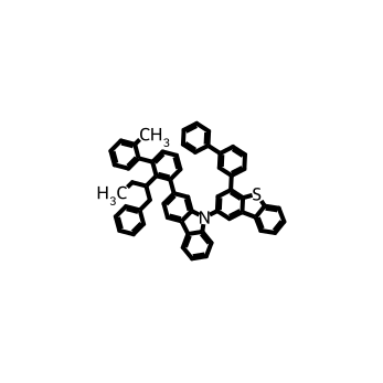 CCC(Cc1ccccc1)c1c(-c2ccc3c4ccccc4n(-c4cc(-c5cccc(-c6ccccc6)c5)c5sc6ccccc6c5c4)c3c2)cccc1-c1ccccc1C